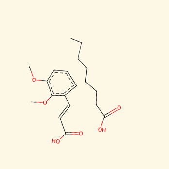 CCCCCCCC(=O)O.COc1cccc(/C=C/C(=O)O)c1OC